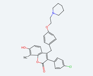 N#Cc1c(O)ccc2c(Cc3ccc(OCCN4CCCCC4)cc3)c(-c3ccc(Cl)cc3)c(=O)oc12